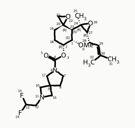 CO[C@@H]1[C@H](OC(=O)N2CCC3(CN(CC(F)F)C3)C2)CC[C@]2(CO2)[C@H]1[C@@]1(C)O[C@@H]1CC=C(C)C